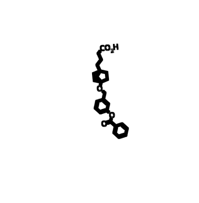 O=C(O)CCCC12CCC(OCc3cccc(OC(=O)c4ccccc4)c3)(CC1)C2